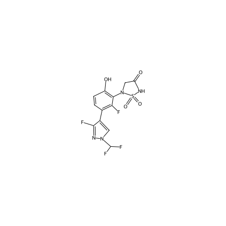 O=C1CN(c2c(O)ccc(-c3cn(C(F)F)nc3F)c2F)S(=O)(=O)N1